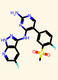 CS(=O)(=O)c1cc(-c2cnc(N)nc2Nc2n[nH]c3ncc(F)cc23)ccc1F